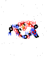 CC(OC(=O)O[C@@H]1C[C@@H](C(=O)N[C@@H](C)c2ccc(C#N)cc2)N(C(=O)[C@@H](c2cc(OCCN3CCC(O[C@H]4C[C@H](Oc5cc(N6C7CCC6CN(c6cc(-c8ccccc8OCOP(=O)(O)O)nnc6N)C7)ccn5)C4)CC3)no2)C(C)C)C1)C(C)SS(C)(=O)=O